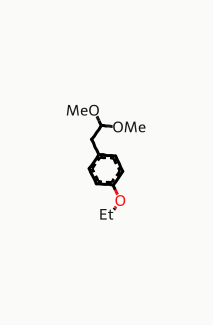 CCOc1ccc(CC(OC)OC)cc1